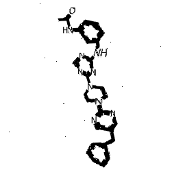 CC(=O)Nc1cccc(Nc2ncnc(N3CCN(c4ncc(Cc5ccccc5)cn4)CC3)n2)c1